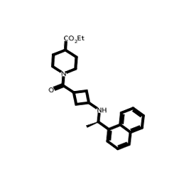 CCOC(=O)C1CCN(C(=O)C2CC(N[C@H](C)c3cccc4ccccc34)C2)CC1